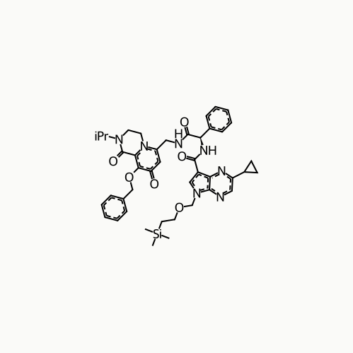 CC(C)N1CCn2c(CNC(=O)[C@H](NC(=O)c3cn(COCC[Si](C)(C)C)c4ncc(C5CC5)nc34)c3ccccc3)cc(=O)c(OCc3ccccc3)c2C1=O